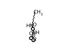 CCCCCCCCC(=O)Nc1ccc(NC(=O)Oc2cccc3cccnc23)cc1